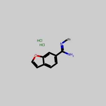 CC(C)N=C(N)c1ccc2ccoc2c1.Cl.Cl